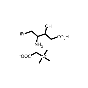 CC(C)C[C@H](N)[C@@H](O)CC(=O)O.C[N+](C)(C)CC(=O)[O-]